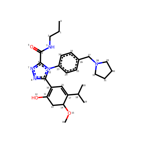 CCCNC(=O)c1nnc(C2=C(O)CC(OC)C(C(C)C)=C2)n1-c1ccc(CN2CCCC2)cc1